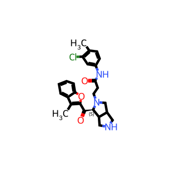 Cc1ccc(NC(=O)CCN2CC3CNCC3[C@H]2C(=O)c2oc3ccccc3c2C)cc1Cl